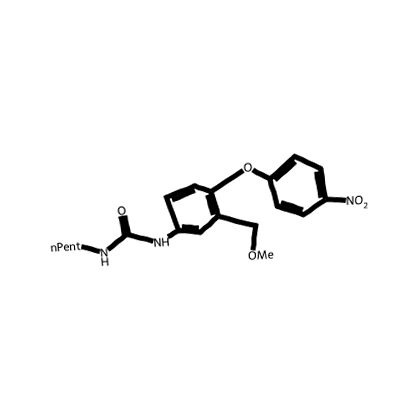 CCCCCNC(=O)Nc1ccc(Oc2ccc([N+](=O)[O-])cc2)c(COC)c1